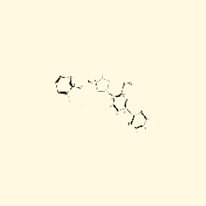 Cc1cccnc1CO[C@H]1CCN(c2ccc(-c3ccccc3)cc2CO)C1